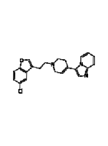 Clc1ccc2occ(CCN3CC=C(c4cnc5ccccn45)CC3)c2c1